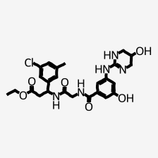 CCOC(=O)CC(NC(=O)CNC(=O)c1cc(O)cc(NC2=NCC(O)CN2)c1)c1cc(C)cc(Cl)c1